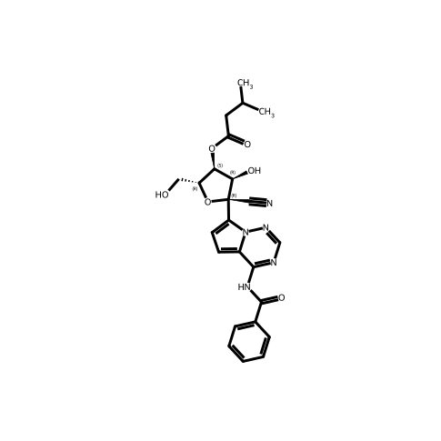 CC(C)CC(=O)O[C@H]1[C@@H](O)[C@](C#N)(c2ccc3c(NC(=O)c4ccccc4)ncnn23)O[C@@H]1CO